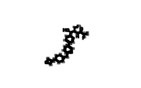 O=C(N[C@H](CF)[C@@H](O)c1ccc(-c2ccc(CN3CCC(C4COC4)CC3)nc2)cc1)C(F)F